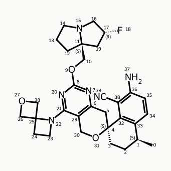 C[C@H]1CC[C@]2(Cc3nc(OC[C@@]45CCCN4C[C@H](F)C5)nc(N4CCC45COC5)c3CO2)c2c1ccc(N)c2C#N